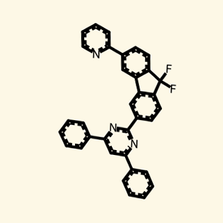 FC1(F)c2ccc(-c3ccccn3)cc2-c2cc(-c3nc(-c4ccccc4)cc(-c4ccccc4)n3)ccc21